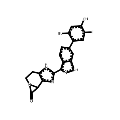 CCc1cc(O)c(F)cc1-c1ccc2c(-c3nc4c([nH]3)CCN3C(=O)C43)n[nH]c2c1